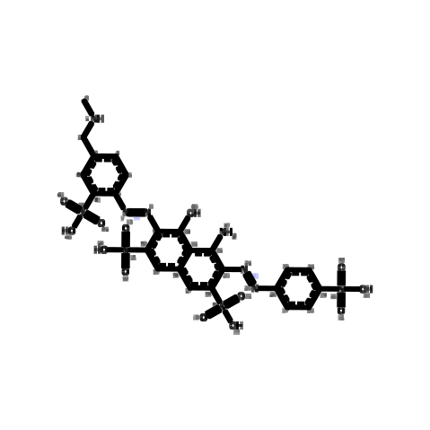 CNCc1ccc(/N=N/c2c(S(=O)(=O)O)cc3cc(S(=O)(=O)O)c(/N=N/c4ccc(S(=O)(=O)O)cc4)c(N)c3c2O)c(S(=O)(=O)O)c1